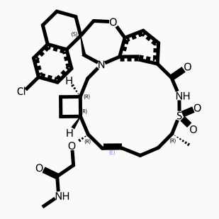 CNC(=O)CO[C@H]1/C=C/CC[C@@H](C)S(=O)(=O)NC(=O)c2ccc3c(c2)N(C[C@@H]2CC[C@H]21)C[C@@]1(CCCc2cc(Cl)ccc21)CO3